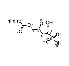 CCCCCC(=O)OCC(COP(=O)(O)O)OO